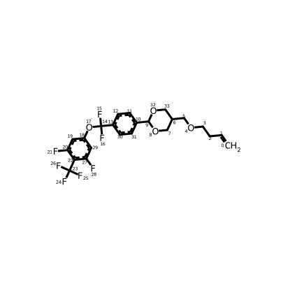 C=CCCOCC1COC(c2ccc(C(F)(F)Oc3cc(F)c(C(F)(F)F)c(F)c3)cc2)OC1